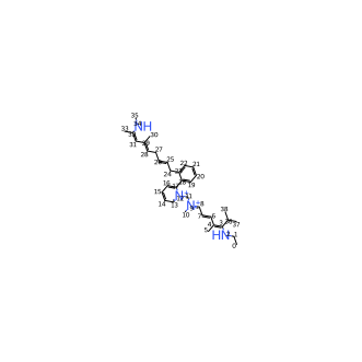 CCN/C(=C(C)/C=C/C=[N+](\C)C[n+]1ccccc1-c1ccccc1C/C=C/C/C=C(C)/C=C(/C)NC)C(C)C